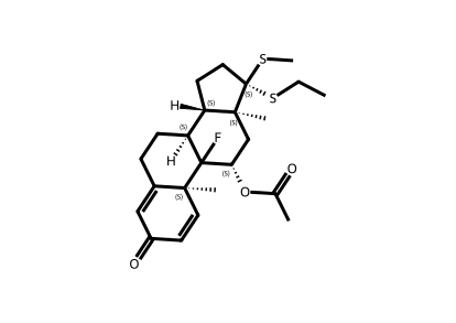 CCS[C@@]1(SC)CC[C@H]2[C@@H]3CCC4=CC(=O)C=C[C@]4(C)C3(F)[C@@H](OC(C)=O)C[C@@]21C